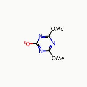 COc1nc([3O])nc(OC)n1